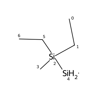 CC[Si](C)([SiH2])CC